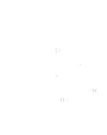 C=C(C)C(=O)OCC12CC3CC(CC(C3)C1CC)C2